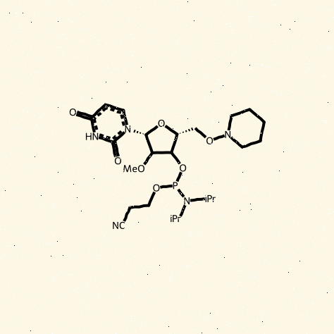 COC1C(OP(OCCC#N)N(C(C)C)C(C)C)[C@@H](CON2CCCCC2)O[C@H]1n1ccc(=O)[nH]c1=O